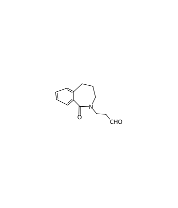 O=CCCN1CCCc2ccccc2C1=O